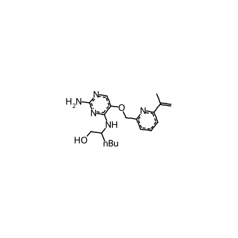 C=C(C)c1cccc(COc2cnc(N)nc2NC(CO)CCCC)n1